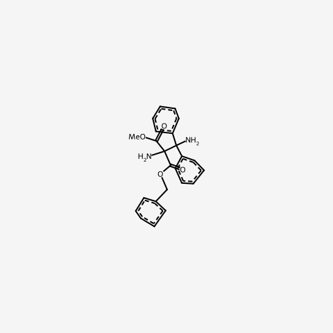 COC(=O)C(N)(C(=O)OCc1ccccc1)C(N)(c1ccccc1)c1ccccc1